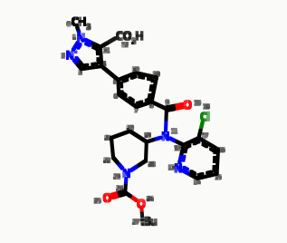 Cn1ncc(-c2ccc(C(=O)N(c3ncccc3Cl)C3CCCN(C(=O)OC(C)(C)C)C3)cc2)c1C(=O)O